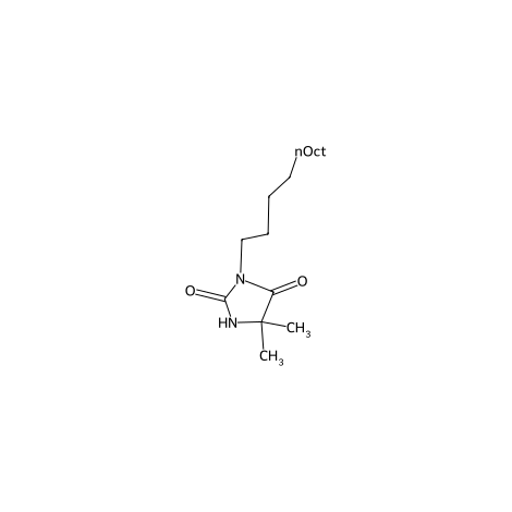 CCCCCCCCCCCCN1C(=O)NC(C)(C)C1=O